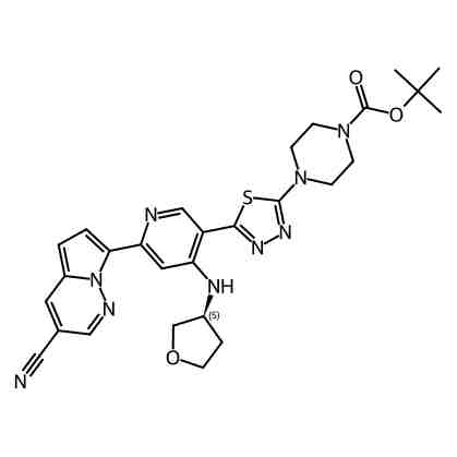 CC(C)(C)OC(=O)N1CCN(c2nnc(-c3cnc(-c4ccc5cc(C#N)cnn45)cc3N[C@H]3CCOC3)s2)CC1